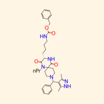 CCCN1C(=O)[C@H](CCCCNC(=O)OCc2ccccc2)NC(=O)C12CCN(C(c1ccccc1)c1c(C)n[nH]c1C)CC2